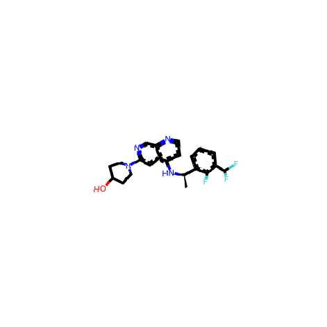 C[C@@H](Nc1ccnc2cnc(N3CCC(O)CC3)cc12)c1cccc(C(F)F)c1F